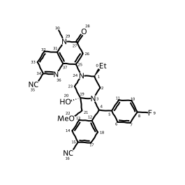 CC[C@H]1CN(C(c2ccc(F)cc2)c2ccc(C#N)cc2)[C@@](O)(COC)CN1c1cc(=O)n(C)c2ccc(C#N)nc12